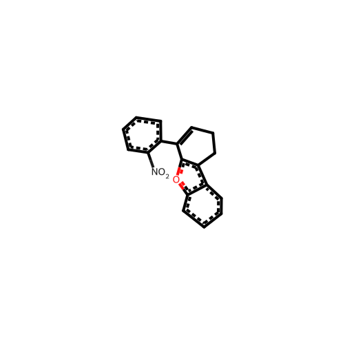 O=[N+]([O-])c1ccccc1C1=CCCc2c1oc1ccccc21